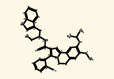 COc1cc2c(cc1OC(C)C)-c1cc(C(=O)NC(CO)Cc3c[nH]c4ccccc34)c(-c3ccccc3F)n1CC2